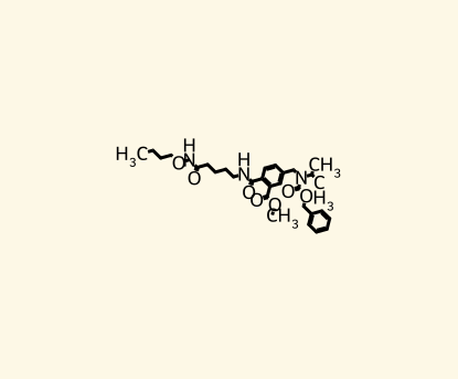 CCCCONC(=O)CCCCNC(=O)c1ccc(CN(C(=O)OCc2ccccc2)C(C)C)cc1C(=O)OC